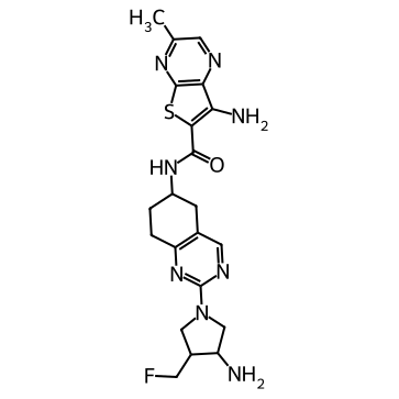 Cc1cnc2c(N)c(C(=O)NC3CCc4nc(N5CC(N)C(CF)C5)ncc4C3)sc2n1